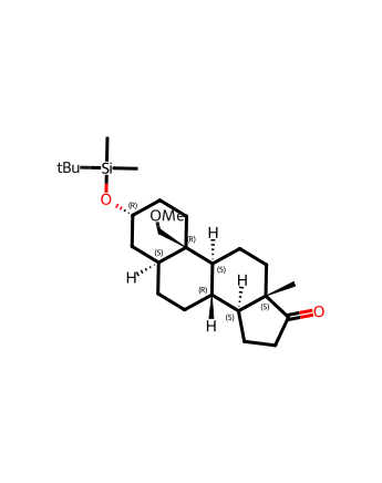 COC[C@]12CC[C@@H](O[Si](C)(C)C(C)(C)C)C[C@@H]1CC[C@@H]1[C@@H]2CC[C@]2(C)C(=O)CC[C@@H]12